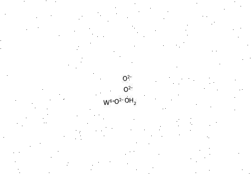 O.[O-2].[O-2].[O-2].[W+6]